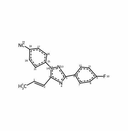 CC=Cc1nc(-c2ccc(F)cc2)nn1-c1ccc(C#N)cc1